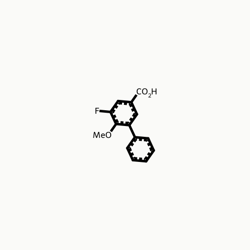 COc1c(F)cc(C(=O)O)cc1-c1ccccc1